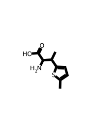 Cc1ccc(C(C)C(N)C(=O)O)s1